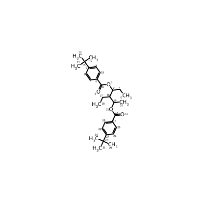 CCC(OC(=O)c1ccc(C(C)(C)C)cc1)C(CC)C(C)OC(=O)c1ccc(C(C)(C)C)cc1